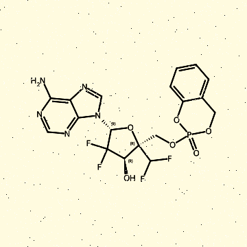 Nc1ncnc2c1ncn2[C@@H]1O[C@@](COP2(=O)OCc3ccccc3O2)(C(F)F)[C@@H](O)C1(F)F